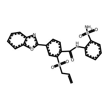 C=CCS(=O)(=O)c1cc(-c2nc3ccccc3o2)ccc1C(=O)Nc1ccccc1S(N)(=O)=O